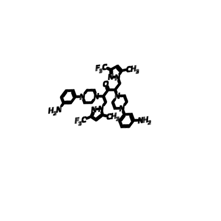 Cc1cc(C(F)(F)F)nn1CC(C(=O)C(Cn1nc(C(F)(F)F)cc1C)N1CCN(c2cccc(N)c2)CC1)N1CCN(c2cccc(N)c2)CC1